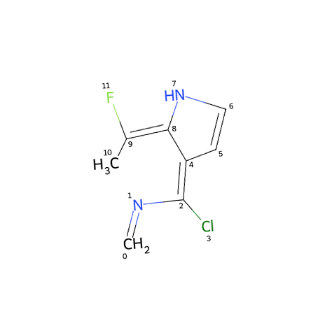 C=N/C(Cl)=c1/cc[nH]/c1=C(/C)F